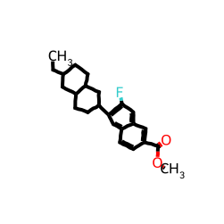 CCC1CCC2CC(c3cc4ccc(C(=O)OC)cc4cc3F)CCC2C1